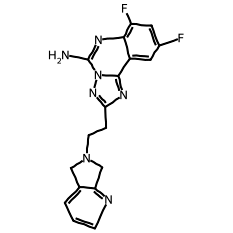 Nc1nc2c(F)cc(F)cc2c2nc(CCN3Cc4cccnc4C3)nn12